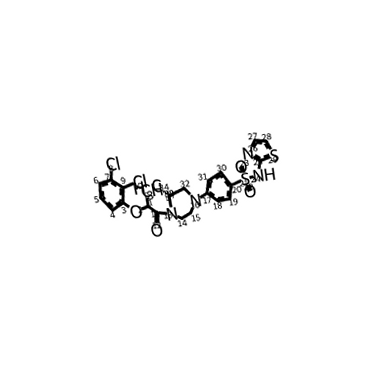 CC(Oc1cccc(Cl)c1Cl)C(=O)N1CCN(c2ccc(S(=O)(=O)Nc3nccs3)cc2)C[C@H]1C